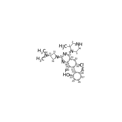 CC1CNCCN1c1nc(N2CC(N(C)C)C2)nc2c(F)c(-c3c(O)cccc3F)c(Cl)cc12